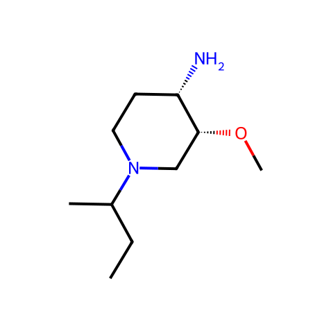 CCC(C)N1CC[C@H](N)[C@H](OC)C1